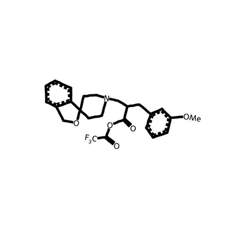 COc1cccc(CC(CN2CCC3(CC2)OCc2ccccc23)C(=O)OC(=O)C(F)(F)F)c1